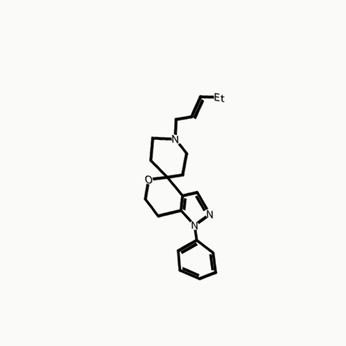 CCC=CCN1CCC2(CC1)OCCc1c2cnn1-c1ccccc1